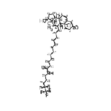 C[C@]12CCC(=O)CC1CC[C@@H]1[C@H]2C(CCCCCCCCCCCC(=O)NCCCC(F)(F)C(F)(F)F)C[C@]2(C)C(O)CC[C@@H]12